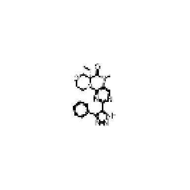 CC[C@@]12COCCN1c1nc(-c3[nH]nnc3-c3ccccc3)ncc1N(C)C2=O